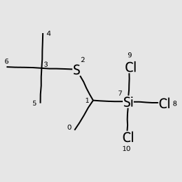 CC(SC(C)(C)C)[Si](Cl)(Cl)Cl